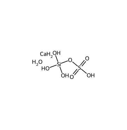 O.O=S(=O)(O)O[Si](O)(O)O.[CaH2]